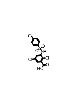 CN(c1cc(Cl)cc(C(=O)O)c1Cl)S(=O)(=O)c1ccc(Cl)cc1